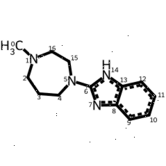 CN1CCCN(c2nc3ccccc3[nH]2)CC1